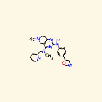 CC(=O)N1CCc2nc(Nc3ccc(-c4cnco4)cc3)nc(N(C)Cc3ccccn3)c2C1